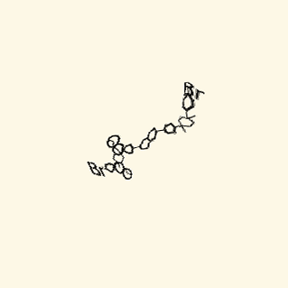 COCOC1(c2ccc(Br)cc2)CCC(OCOC)(c2ccc(-c3ccc4cc(-c5ccc(C6(C)CCC(C)(c7ccc(Br)cc7)CC6)cc5)ccc4c3)cc2)CC1